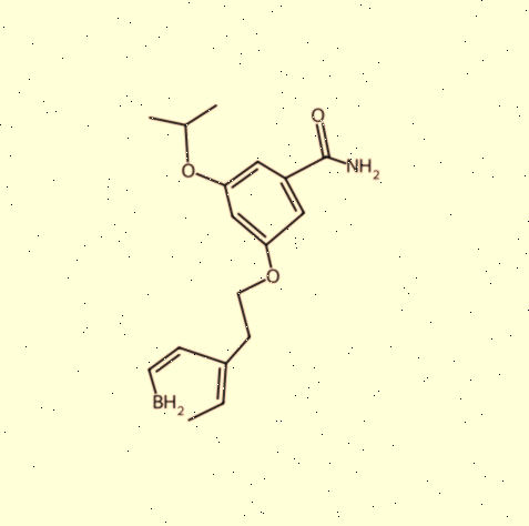 B/C=C\C(=C/C)CCOc1cc(OC(C)C)cc(C(N)=O)c1